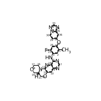 Cc1cc(Nc2ncnc3cc4c(nc23)N2CCOC[C@H]2CO4)c(F)cc1Oc1ccn2ncnc2c1